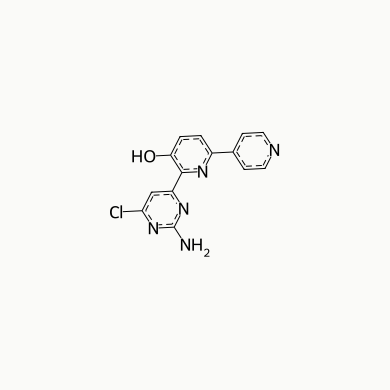 Nc1nc(Cl)cc(-c2nc(-c3ccncc3)ccc2O)n1